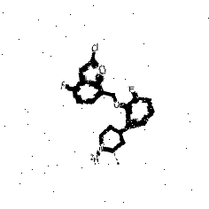 [2H]N1CCC(c2cccc(F)c2OCc2ccc(F)c3cc(Cl)oc23)C[C@@H]1C